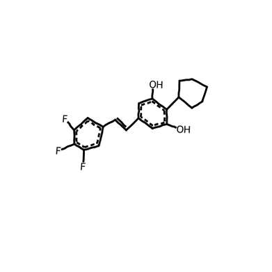 Oc1cc(C=Cc2cc(F)c(F)c(F)c2)cc(O)c1C1CCCCC1